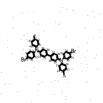 Cc1ccc(N(c2ccc(Br)cc2)c2ccc(-c3ccc(N(c4ccc(C)cc4)c4ccc(Br)cc4)cc3)cc2)cc1